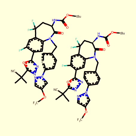 CC(C)(C)OC(=O)NC1CC(F)(F)c2cc(F)c(-c3nnc(C(C)(C)C#N)o3)cc2N(Cc2ccc(-n3cc(OC(F)(F)F)cn3)cc2)C1=O.CC(C)(C)OC(=O)N[C@@H]1CC(F)(F)c2cc(F)c(-c3nnc(C(C)(C)C#N)o3)cc2N(Cc2ccc(-n3cc(OC(F)(F)F)cn3)cc2)C1=O